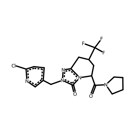 O=C(C1CC(C(F)(F)F)Cc2nn(Cc3ccc(Cl)nc3)c(=O)n21)N1CCCC1